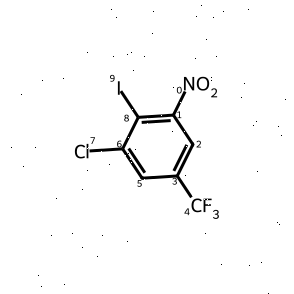 O=[N+]([O-])c1cc(C(F)(F)F)cc(Cl)c1I